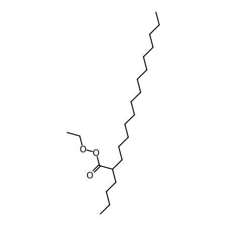 CCCCCCCCCCCCCCC(CCCC)C(=O)OOCC